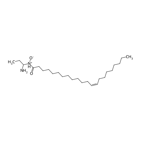 CCCCCCCC/C=C\CCCCCCCCCCCC(=O)[NH+]([O-])C(N)CC